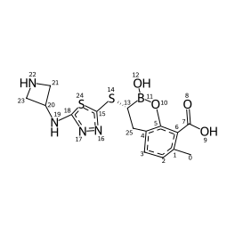 Cc1ccc2c(c1C(=O)O)OB(O)[C@@H](Sc1nnc(NC3CNC3)s1)C2